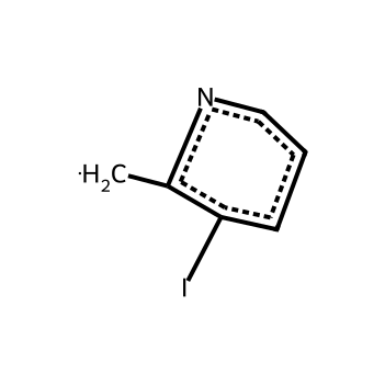 [CH2]c1ncccc1I